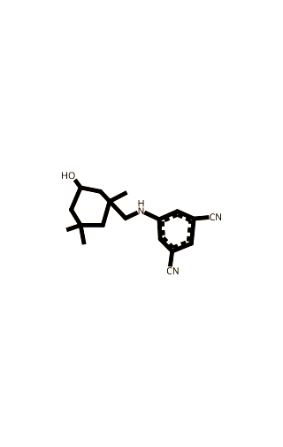 CC1(C)CC(O)CC(C)(CNc2cc(C#N)cc(C#N)c2)C1